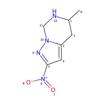 CC1Cc2cc([N+](=O)[O-])nn2CN1